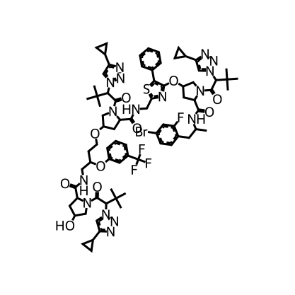 CC(Cc1ccc(Br)cc1F)NC(=O)C1CC(Oc2nc(CNC(=O)C3CC(OCCC(CNC(=O)C4CC(O)CN4C(=O)C(n4cc(C5CC5)nn4)C(C)(C)C)Oc4cccc(C(F)(F)F)c4)CN3C(=O)C(n3cc(C4CC4)nn3)C(C)(C)C)sc2-c2ccccc2)CN1C(=O)C(n1cc(C2CC2)nn1)C(C)(C)C